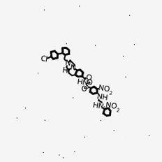 O=C(NS(=O)(=O)c1ccc(NCCNc2ccccc2[N+](=O)[O-])c([N+](=O)[O-])c1)c1ccc2c(c1)CC[C@H]1CN(Cc3ccccc3-c3ccc(Cl)cc3)CCN21